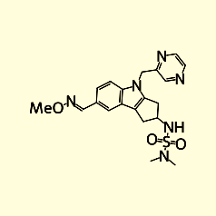 CON=Cc1ccc2c(c1)c1c(n2Cc2cnccn2)CC(NS(=O)(=O)N(C)C)C1